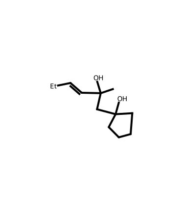 CCC=CC(C)(O)CC1(O)CCCC1